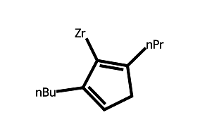 CCCCC1=CCC(CCC)=[C]1[Zr]